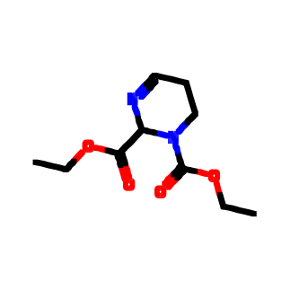 CCOC(=O)C1N=CCCN1C(=O)OCC